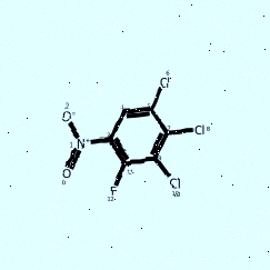 O=[N+]([O-])c1cc(Cl)c(Cl)c(Cl)c1F